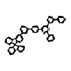 c1ccc(-c2cccc(-c3cc(-c4ccc(-c5cccc(-c6ccc7c(c6)-c6ccccc6C7(c6ccccc6)c6ccccc6)c5)cc4)nc(-c4ccccc4)n3)c2)cc1